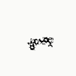 CN(C)C(=O)c1cc(C(O)CN2CC=C(n3c(=O)[nH]c4ccccc43)CC2)ccc1O